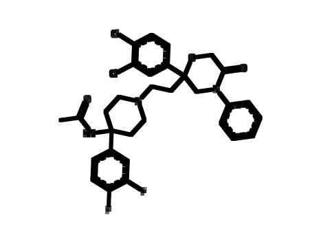 CC(=O)NC1(c2ccc(F)c(F)c2)CCN(CCC2(c3ccc(Cl)c(Cl)c3)CN(c3ccccc3)C(=O)CO2)CC1